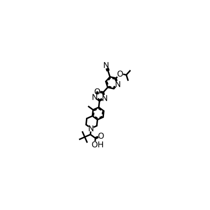 Cc1c(-c2noc(-c3cnc(OC(C)C)c(C#N)c3)n2)ccc2c1CCN(C(C(=O)O)C(C)(C)C)C2